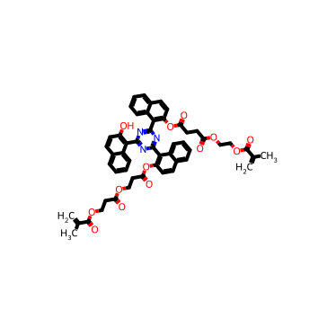 C=C(C)C(=O)OCCOC(=O)CCC(=O)Oc1ccc2ccccc2c1-c1nc(-c2c(O)ccc3ccccc23)nc(-c2c(OC(=O)CCOC(=O)CCOC(=O)C(=C)C)ccc3ccccc23)n1